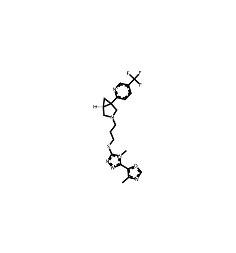 Cc1ncoc1-c1nnc(SCCCN2C[C@H]3CC3(c3ccc(C(F)(F)F)cn3)C2)n1C